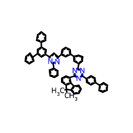 CC1(C)c2ccccc2-c2c(-c3nc(-c4ccc(-c5ccccc5)cc4)nc(-c4cccc(-c5cccc(-c6cc(-c7cc(-c8ccccc8)cc(-c8ccccc8)c7)nc(-c7ccccc7)n6)c5)c4)n3)cccc21